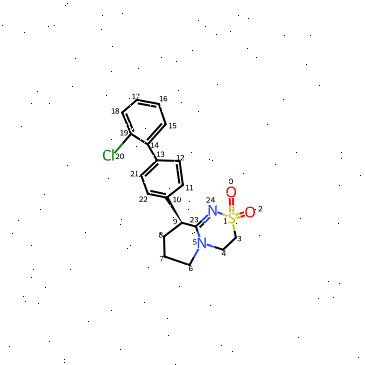 O=S1(=O)CCN2CCC[C@@H](c3ccc(-c4ccccc4Cl)cc3)C2=N1